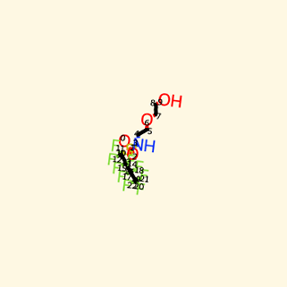 O=S(=O)(NCCOCCO)C(F)(F)C(F)(F)C(F)(F)C(F)(F)F